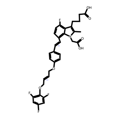 Cc1c(CCCC(=O)O)c2c(F)ccc(/C=C/c3ccc(OC/C=C/COc4c(F)cc(F)cc4F)cc3)c2n1CC(=O)O